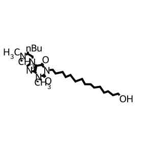 CCCCC(Cn1cnc2c1c(=O)n(CCCCCCCCCCCCCCCO)c(=O)n2C)N(C)C